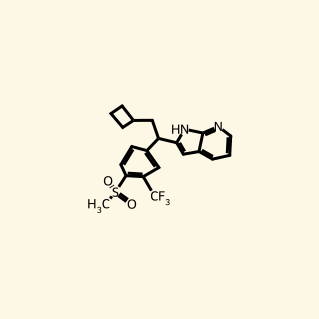 CS(=O)(=O)c1ccc(C(CC2CCC2)c2cc3cccnc3[nH]2)cc1C(F)(F)F